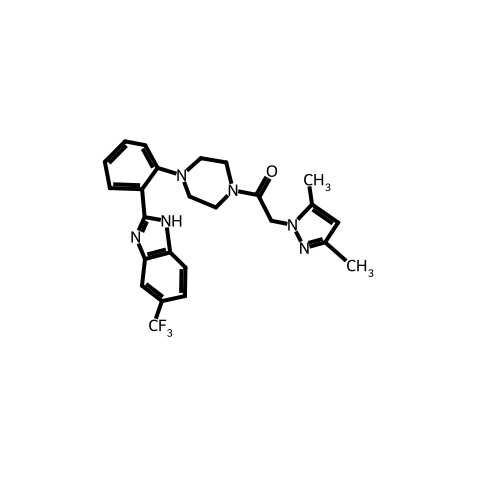 Cc1cc(C)n(CC(=O)N2CCN(c3ccccc3-c3nc4cc(C(F)(F)F)ccc4[nH]3)CC2)n1